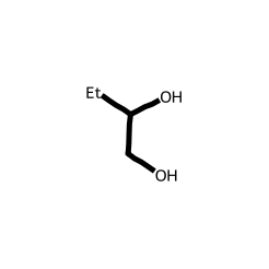 [C]CC(O)CO